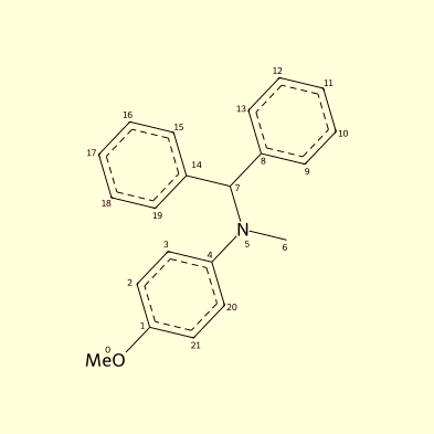 COc1ccc(N(C)C(c2ccccc2)c2ccccc2)cc1